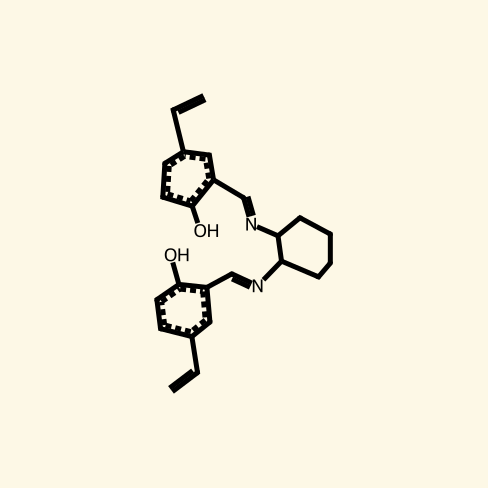 C=Cc1ccc(O)c(C=NC2CCCCC2N=Cc2cc(C=C)ccc2O)c1